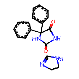 C1=NCCN1.O=C1NC(=O)C(c2ccccc2)(c2ccccc2)N1